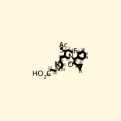 CC(=O)SC1CCN(C(C(=O)C2CC2)c2ccccc2F)CC1=Cc1ccn(CCC(=O)O)n1